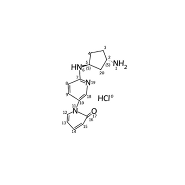 Cl.N[C@H]1CC[C@H](Nc2ccc(-n3ccccc3=O)cn2)C1